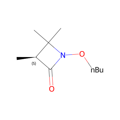 CCCCON1C(=O)[C@@H](C)C1(C)C